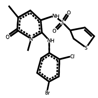 Cc1cc(NS(=O)(=O)C2C=CSC2)c(Nc2ccc(Br)cc2Cl)n(C)c1=O